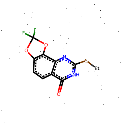 CCSc1nc2c3c(ccc2c(=O)[nH]1)OC(F)(F)O3